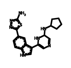 Nc1nnc(-c2ccc3[nH]cc(C4=CN=CC(NC5CCCC5)N4)c3c2)s1